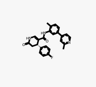 Cc1cc(-c2ccc(C)c(NC(=O)C3=CNC(=O)C[C@H]3c3ccc(F)cc3)c2)ccn1